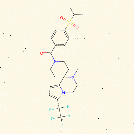 Cc1cc(C(=O)N2CCC3(CC2)c2ccc(C(F)(F)C(F)(F)F)n2CCN3C)ccc1S(=O)(=O)C(C)C